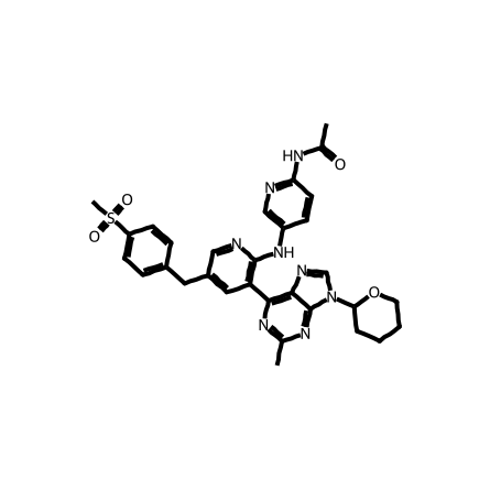 CC(=O)Nc1ccc(Nc2ncc(Cc3ccc(S(C)(=O)=O)cc3)cc2-c2nc(C)nc3c2ncn3C2CCCCO2)cn1